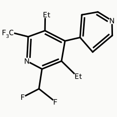 CCc1c(C(F)F)nc(C(F)(F)F)c(CC)c1-c1ccncc1